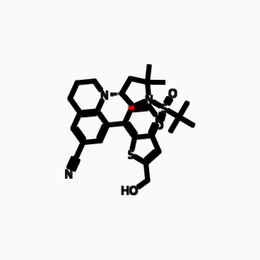 CC1(C)C[C@@H](N2CCCc3cc(C#N)cc(-c4ccnc5cc(CO)sc45)c32)CN1S(=O)(=O)C(C)(C)C